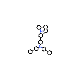 c1ccc(-c2ccc(N(c3ccc(-c4ccccc4)cc3)c3ccc(-c4ccc5c(c4)c4ccc6cccc7c8ccccc8n5c4c67)cc3)cc2)cc1